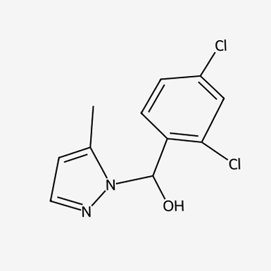 Cc1ccnn1C(O)c1ccc(Cl)cc1Cl